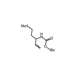 C=CC(CCSC)NC(=O)OC(C)(C)C